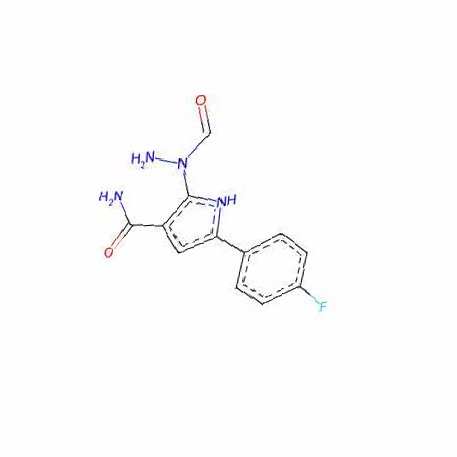 NC(=O)c1cc(-c2ccc(F)cc2)[nH]c1N(N)C=O